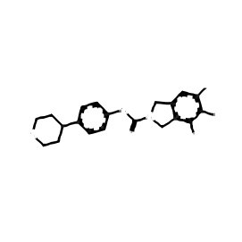 Cl.O=C(Nc1ccc(C2CCNCC2)cc1)N1Cc2cc(F)c(F)c(F)c2C1